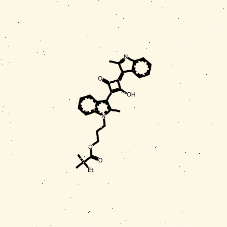 CCC(C)(C)C(=O)OCCCn1c(C)c(C2=C(O)/C(=C3/C(C)=Nc4ccccc43)C2=O)c2ccccc21